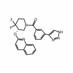 O=C(c1cccc(-c2c[nH]nn2)c1)N1CCC(F)(F)[C@@H](Oc2ccc3ccccc3n2)C1